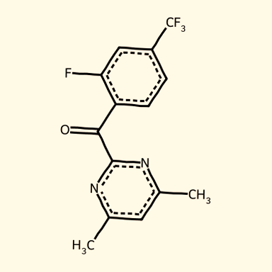 Cc1cc(C)nc(C(=O)c2ccc(C(F)(F)F)cc2F)n1